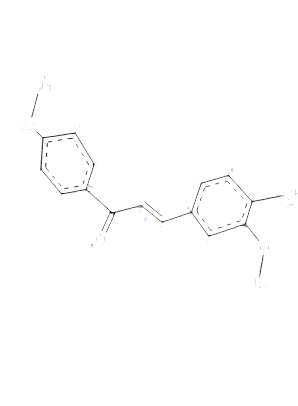 CCOc1cc(/C=C/C(=O)c2ccc(OC(C)C)cc2)ccc1O